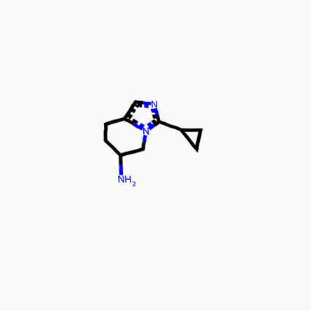 NC1CCc2cnc(C3CC3)n2C1